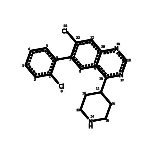 Clc1ccccc1-c1cc2c(C3CCNCC3)ncnc2cc1Cl